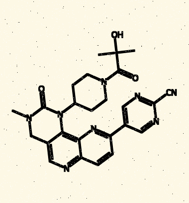 CN1Cc2cnc3ccc(-c4cnc(C#N)nc4)nc3c2N(C2CCN(C(=O)C(C)(C)O)CC2)C1=O